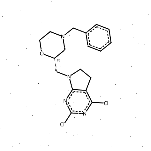 Clc1nc(Cl)c2c(n1)N(C[C@H]1CN(Cc3ccccc3)CCO1)CC2